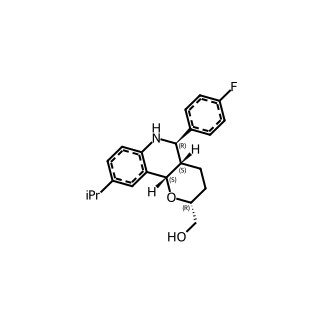 CC(C)c1ccc2c(c1)[C@H]1O[C@@H](CO)CC[C@H]1[C@H](c1ccc(F)cc1)N2